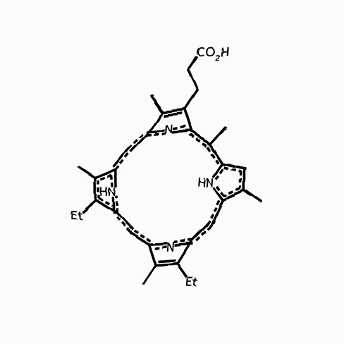 CCC1=C(C)c2cc3[nH]c(cc4nc(c(C)c5cc(C)c(cc1n2)[nH]5)C(CCC(=O)O)=C4C)c(C)c3CC